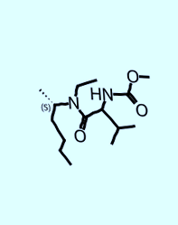 CCCC[C@H](C)N(CC)C(=O)C(NC(=O)OC)C(C)C